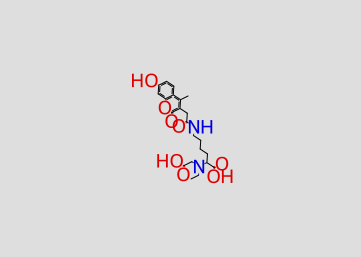 CCN(CC(=O)O)C(CCCCNC(=O)Cc1c(C)c2ccc(O)cc2oc1=O)C(=O)O